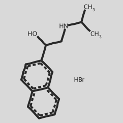 Br.CC(C)NCC(O)c1ccc2ccccc2c1